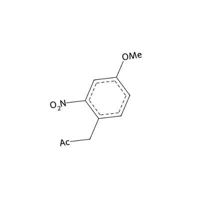 COc1ccc(CC(C)=O)c([N+](=O)[O-])c1